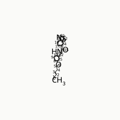 CCC=CCCOc1cccc(CNC(=O)c2ccc3ncsc3c2)c1